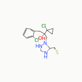 OC(Cc1ccccc1Cl)(CN1NCNC1C=S)C1(Cl)CC1